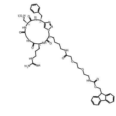 N=C(N)NCCC[C@@H]1NC(=O)[C@H](CCCCNC(=O)COCCOCCNC(=O)OCC2c3ccccc3-c3ccccc32)n2cc(nn2)[C@H](Cc2ccccc2)NC(=O)[C@H](CC(=O)O)NC(=O)CNC1=O